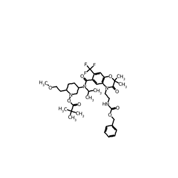 COCCC1CCC(N(C(=O)c2cc3c(cc2C(F)(F)F)OC(C)(C)C(=O)N3CCNC(=O)OCc2ccccc2)C(C)C)CN1OC(=O)C(C)(C)C